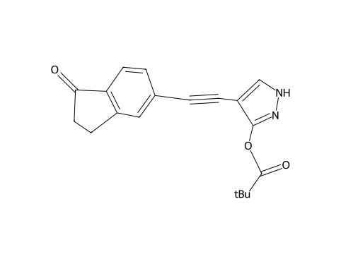 CC(C)(C)C(=O)Oc1n[nH]cc1C#Cc1ccc2c(c1)CCC2=O